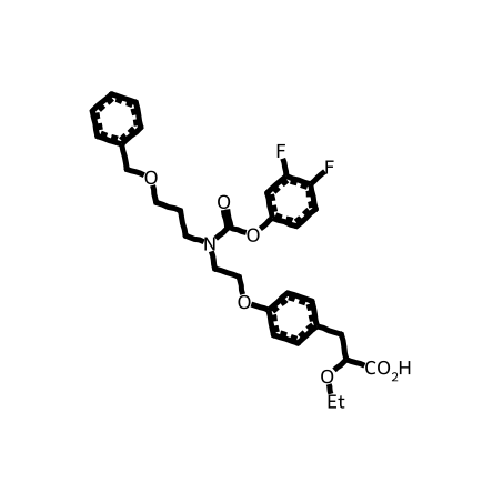 CCOC(Cc1ccc(OCCN(CCCOCc2ccccc2)C(=O)Oc2ccc(F)c(F)c2)cc1)C(=O)O